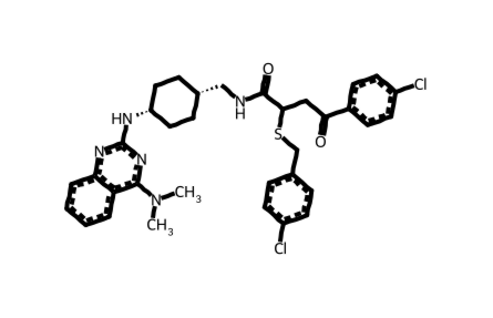 CN(C)c1nc(N[C@H]2CC[C@@H](CNC(=O)C(CC(=O)c3ccc(Cl)cc3)SCc3ccc(Cl)cc3)CC2)nc2ccccc12